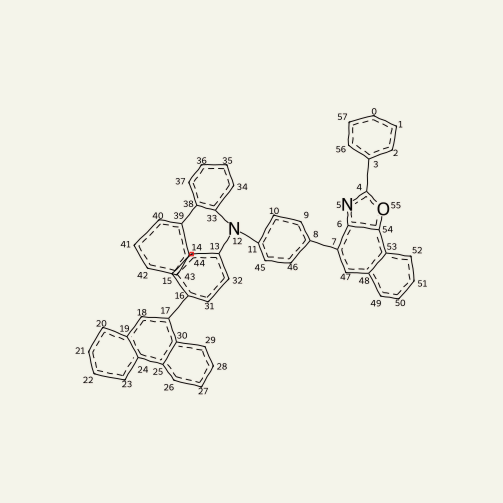 c1ccc(-c2nc3c(-c4ccc(N(c5ccc(-c6cc7ccccc7c7ccccc67)cc5)c5ccccc5-c5ccccc5)cc4)cc4ccccc4c3o2)cc1